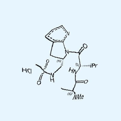 CN[C@@H](C)C(=O)N[C@H](C(=O)N1c2ncccc2C[C@H]1CNS(C)(=O)=O)C(C)C.Cl